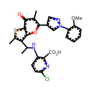 COc1ccccc1-n1cc(-c2oc3c(C(C)Nc4ccc(Cl)nc4C(=O)O)c(C)sc3c(=O)c2C)cn1